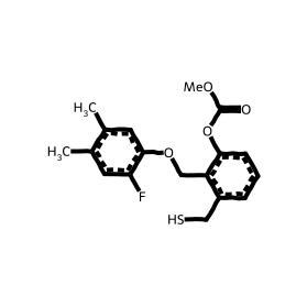 COC(=O)Oc1cccc(CS)c1COc1cc(C)c(C)cc1F